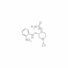 N[SH](=O)=O.O=[N+]([O-])c1ccccc1NC[C@@H]1CN(C2CC2)CCO1